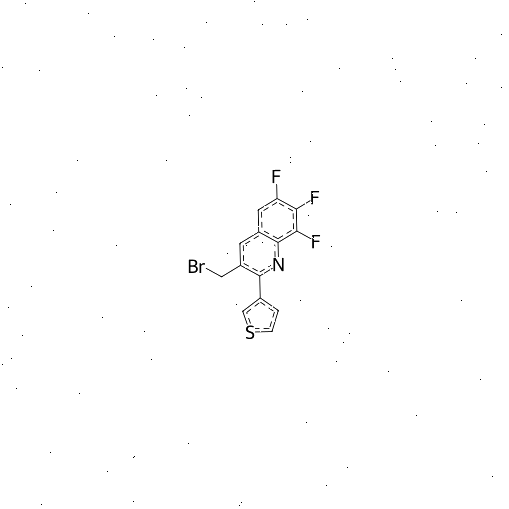 Fc1cc2cc(CBr)c(-c3ccsc3)nc2c(F)c1F